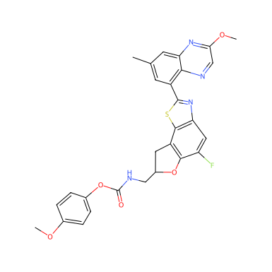 COc1ccc(OC(=O)NCC2Cc3c(c(F)cc4nc(-c5cc(C)cc6nc(OC)cnc56)sc34)O2)cc1